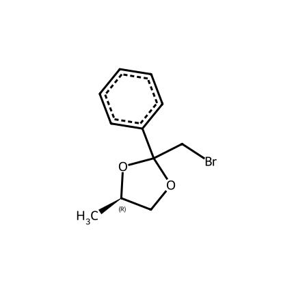 C[C@@H]1COC(CBr)(c2ccccc2)O1